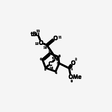 COC(=O)C1CC2C=CC1N(C(=O)OC(C)(C)C)C2